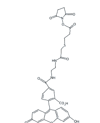 O=C(CSCCC(=O)ON1C(=O)CCC1=O)NCCNC(=O)c1ccc(-c2c3ccc(=O)cc-3oc3cc(O)ccc23)c(C(=O)O)c1